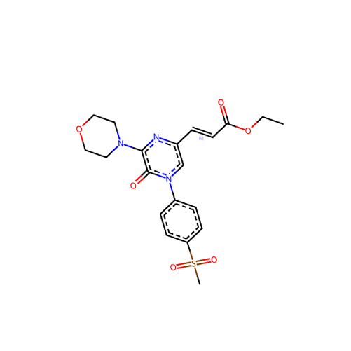 CCOC(=O)/C=C/c1cn(-c2ccc(S(C)(=O)=O)cc2)c(=O)c(N2CCOCC2)n1